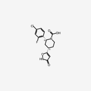 O=C(O)N1CC[C@H](c2cc(=O)[nH]o2)C[C@@H]1c1ccc(Cl)cc1F